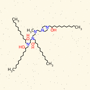 CCCCCCCCCCC(O)CN(CCN(C)CCN1CCN(CC(O)CCCCCCCCCC)CC1)CCN(CC(O)CCCCCCCCCC)CC(O)CCCCCCCCCC